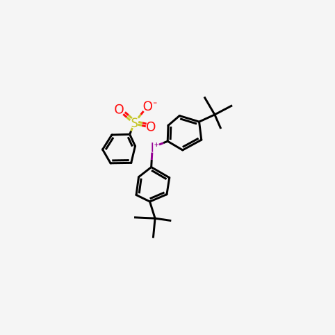 CC(C)(C)c1ccc([I+]c2ccc(C(C)(C)C)cc2)cc1.O=S(=O)([O-])c1ccccc1